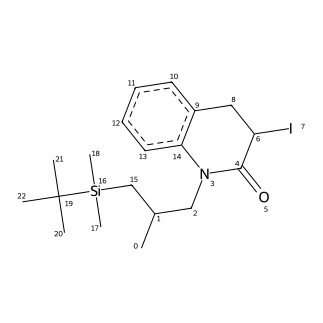 CC(CN1C(=O)C(I)Cc2ccccc21)C[Si](C)(C)C(C)(C)C